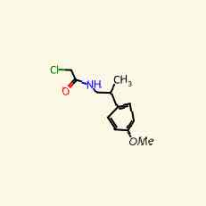 COc1ccc(C(C)CNC(=O)CCl)cc1